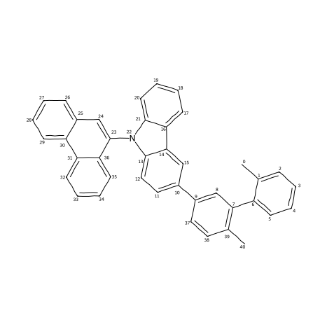 Cc1ccccc1-c1cc(-c2ccc3c(c2)c2ccccc2n3-c2cc3ccccc3c3ccccc23)ccc1C